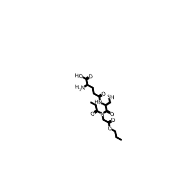 CCCOC(=O)CN(C(=O)CC)C(=O)C(CS)NC(=O)CCC(N)C(=O)O